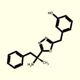 C[C@@](N)(Cc1ccccc1)c1nnc(Cc2cccc(O)c2)o1